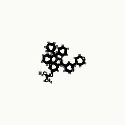 CC(C)Oc1cnc2c(c1)c(-c1ccnc(N3CCOCC3)c1)nn2C(c1ccccc1)(c1ccccc1)c1ccccc1